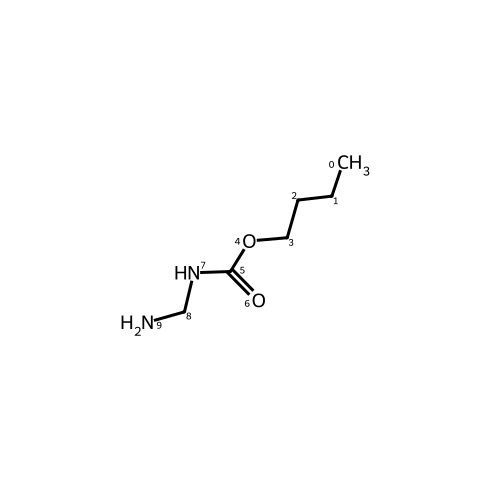 CCCCOC(=O)NCN